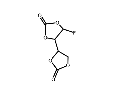 O=C1OCC(C2OC(=O)OC2F)O1